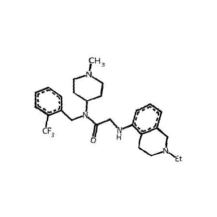 CCN1CCc2c(cccc2NCC(=O)N(Cc2ccccc2C(F)(F)F)C2CCN(C)CC2)C1